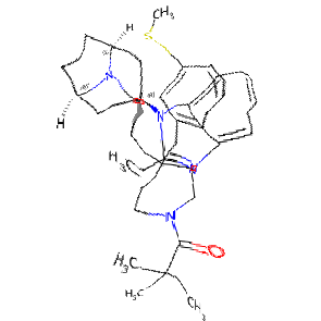 CSc1cccc(C2(CCN3[C@@H]4CC[C@H]3C[C@@H](n3c(C)nc5ccccc53)C4)CCN(C(=O)C(C)(C)C)CC2)c1